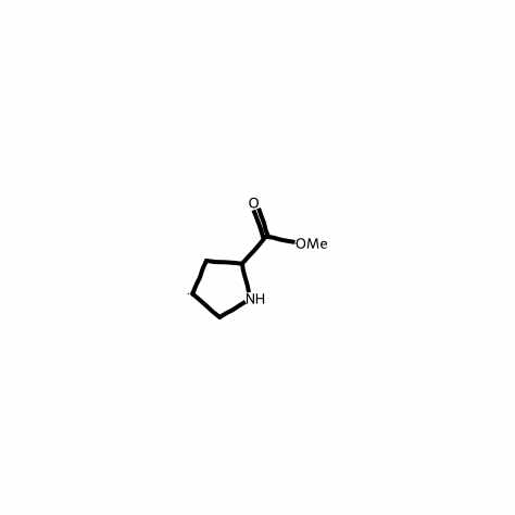 COC(=O)C1C[CH]CN1